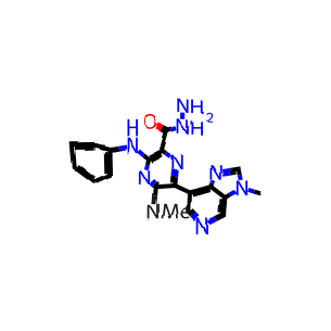 CNc1nc(Nc2ccccc2)c(C(=O)NN)nc1-c1cncc2c1ncn2C